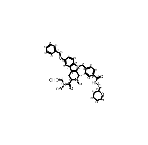 CCCN(CC=O)C(=O)C1Cc2c(n(Cc3ccc(C(=O)NOC4CCCCO4)cc3)c3ccc(OCc4ccccc4)cc23)CN1C